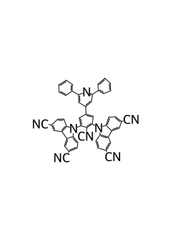 N#Cc1ccc2c(c1)c1cc(C#N)ccc1n2-c1cc(-c2cc(-c3ccccc3)nc(-c3ccccc3)c2)cc(-n2c3ccc(C#N)cc3c3cc(C#N)ccc32)c1C#N